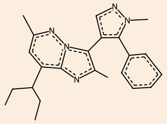 CCC(CC)c1cc(C)nn2c(-c3cnn(C)c3-c3ccccc3)c(C)nc12